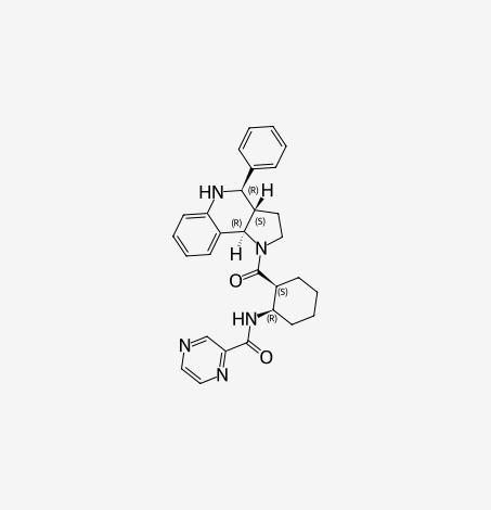 O=C(N[C@@H]1CCCC[C@@H]1C(=O)N1CC[C@H]2[C@H](c3ccccc3)Nc3ccccc3[C@@H]21)c1cnccn1